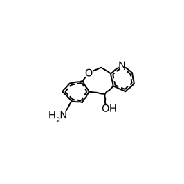 Nc1ccc2c(c1)C(O)c1cccnc1CO2